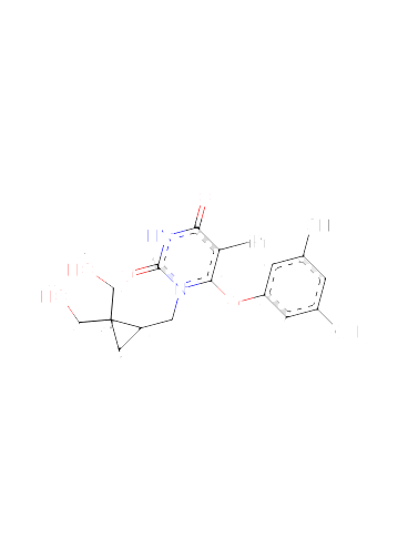 Cc1cc(C)cc(Oc2c(C(C)C)c(=O)[nH]c(=O)n2CC2CC2(CO)CO)c1